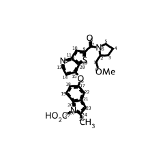 COCC1CCCN1C(=O)c1cc2nccc(Oc3ccc4c(c3)cc(C)n4C(=O)O)c2s1